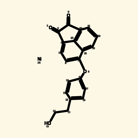 O=C1C(=O)c2ccc(Oc3ccc(CCO)cc3)c3cccc1c23.[Ni]